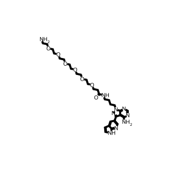 NCCOCCOCCOCCOCCOCCOCCC(=O)NCCCCn1nc(-c2cnc3[nH]ccc3c2)c2c(N)ncnc21